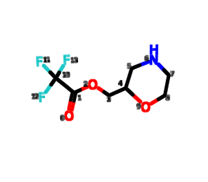 O=C(OCC1CNCCO1)C(F)(F)F